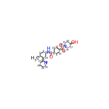 Cc1ccc(NC(=O)c2ccc(S(=O)(=O)N3CCC(O)CC3)cc2)cc1-c1ccccn1